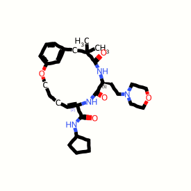 CC1(C)Cc2cccc(c2)OCCC/C=C(/C(=O)NC2CCCC2)NC(=O)[C@H](CCN2CCOCC2)NC1=O